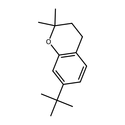 CC1(C)CCc2ccc(C(C)(C)C)cc2O1